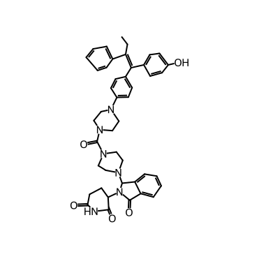 CCC(=C(c1ccc(O)cc1)c1ccc(N2CCN(C(=O)N3CCN(C4c5ccccc5C(=O)N4C4CCC(=O)NC4=O)CC3)CC2)cc1)c1ccccc1